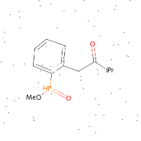 CO[PH](=O)c1ccccc1CC(=O)C(C)C